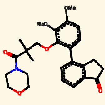 COc1ccc(-c2cccc3c2CCC3=O)c(OCC(C)(C)C(=O)N2CCOCC2)c1OC